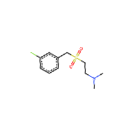 CN(C)CCS(=O)(=O)Cc1cccc(F)c1